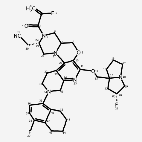 C=C(F)C(=O)N1CC2COc3c(OCC45CCCN4C[C@H](F)C5)nc4c(c3N2C[C@@H]1CC#N)CCN(c1ccc(F)c2c1CCCC2)C4